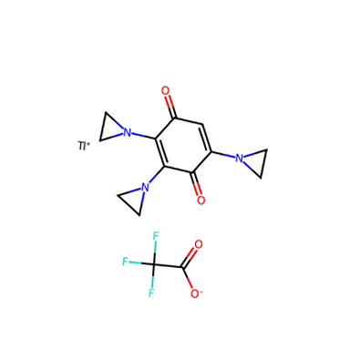 O=C([O-])C(F)(F)F.O=C1C=C(N2CC2)C(=O)C(N2CC2)=C1N1CC1.[Tl+]